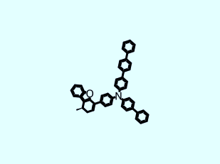 C[C@@H]1CC=C(c2ccc(N(c3ccc(-c4ccccc4)cc3)c3ccc(-c4ccc(-c5ccccc5)cc4)cc3)cc2)c2oc3ccccc3c21